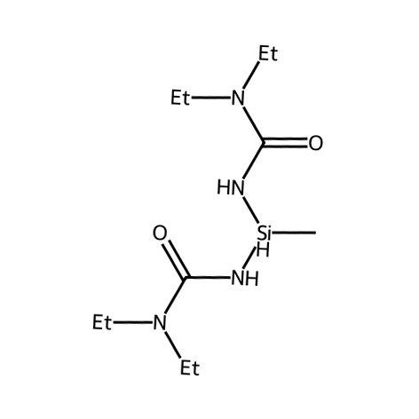 CCN(CC)C(=O)N[SiH](C)NC(=O)N(CC)CC